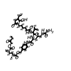 CCC(=O)COC(=O)N(C)CCN(C)C(=O)OCc1ccc(NC(=O)[C@H](CCCNC(N)=O)NC(=O)[C@@H](NC(=O)CCCCCN2C(=O)CC(CC)C2O)C(C)C)cc1